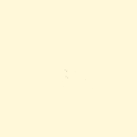 O=C(C1CCCCC1)N1N=C(c2ccc(F)cc2)SC1C1=C2OCOC2=CCC1